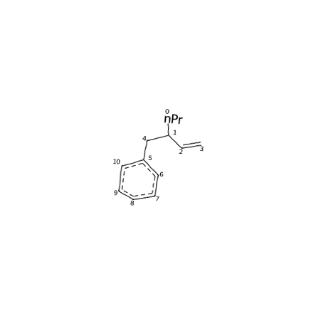 [CH2]CCC(C=C)Cc1ccccc1